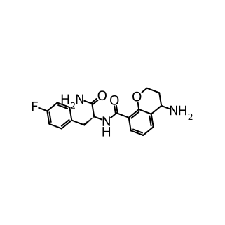 NC(=O)[C@H](Cc1ccc(F)cc1)NC(=O)c1cccc2c1OCCC2N